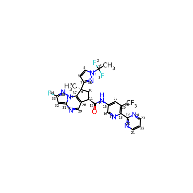 CC(F)(F)n1ccc([C@@]2(C)C[C@@H](C(=O)Nc3cnc(-c4ncccn4)c(C(F)(F)F)c3)c3cnc4cc(F)nn4c32)n1